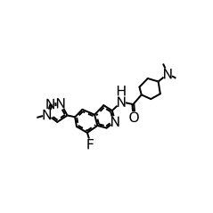 CN(C)C1CCC(C(=O)Nc2cc3cc(-c4cn(C)nn4)cc(F)c3cn2)CC1